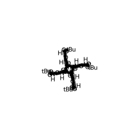 CC(C)(C)OC(=O)NCCOCCNC(=O)CN1CCN(CC(=O)NCCOCCNC(=O)OC(C)(C)C)CCN(CC(=O)NCCOCCNC(=O)OC(C)(C)C)CCN(CC(=O)NCCOCCNC(=O)OC(C)(C)C)CC1